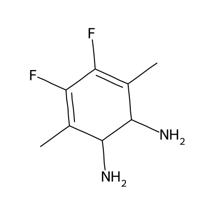 CC1=C(F)C(F)=C(C)C(N)C1N